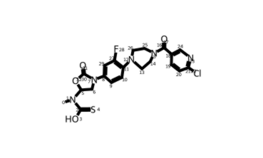 CN(C(O)=S)C1CN(c2ccc(N3CCN(C(=O)c4ccc(Cl)nc4)CC3)c(F)c2)C(=O)O1